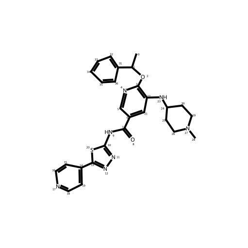 CC(Oc1ncc(C(=O)Nc2nnc(-c3ccncc3)s2)cc1NC1CCN(C)CC1)c1ccccc1